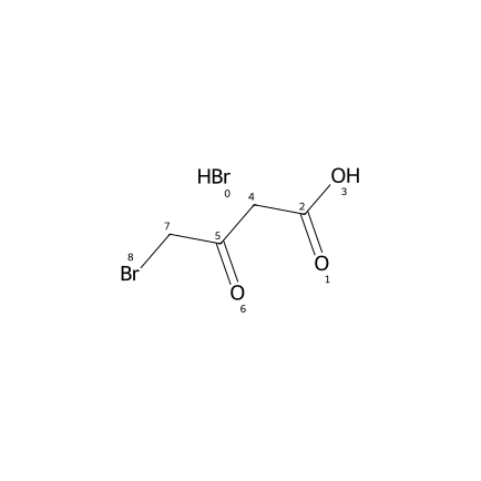 Br.O=C(O)CC(=O)CBr